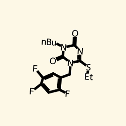 CCCCn1c(=O)nc(SCC)n(Cc2cc(F)c(F)cc2F)c1=O